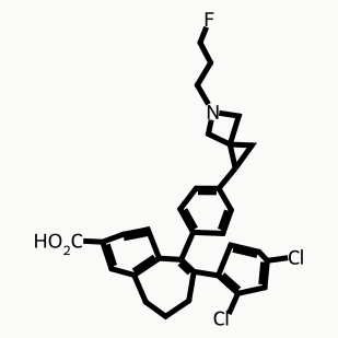 O=C(O)c1ccc2c(c1)CCCC(c1ccc(Cl)cc1Cl)=C2c1ccc(C2CC23CN(CCCF)C3)cc1